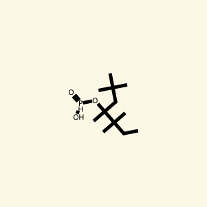 CCC(C)(C)C(C)(CC(C)(C)C)O[PH](=O)O